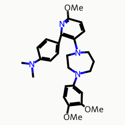 COc1ccc(N2CCCN(c3ccc(OC)c(OC)c3)CC2)c(-c2ccc(N(C)C)cc2)n1